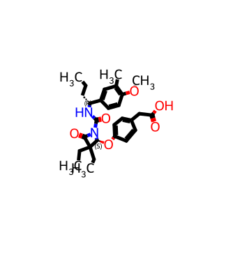 CCC[C@@H](NC(=O)N1C(=O)C(CC)(CC)[C@@H]1Oc1ccc(CC(=O)O)cc1)c1ccc(OC)c(C)c1